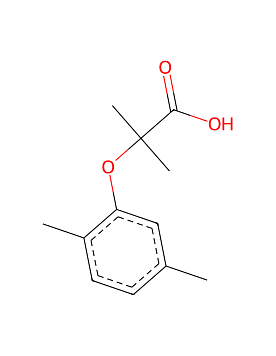 Cc1ccc(C)c(OC(C)(C)C(=O)O)c1